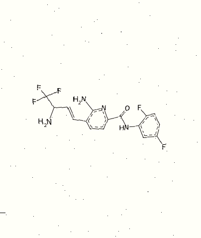 Nc1nc(C(=O)Nc2cc(F)ccc2F)ccc1/C=C/C(N)C(F)(F)F